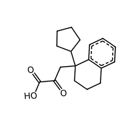 O=C(O)C(=O)CC1(C2CCCC2)CCCc2ccccc21